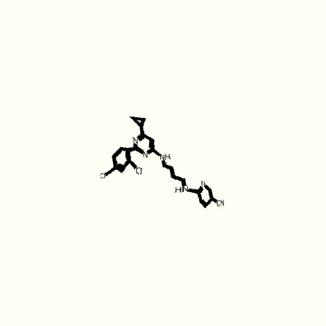 N#Cc1ccc(NCCCCNc2cc(C3CC3)nc(-c3ccc(Cl)cc3Cl)n2)nc1